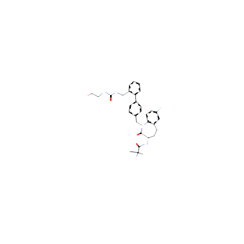 CC(C)(N)C(=O)N[C@@H]1CCc2cc(F)ccc2N(Cc2ccc(-c3ccccc3CNC(=O)NCCO)cc2)C1=O